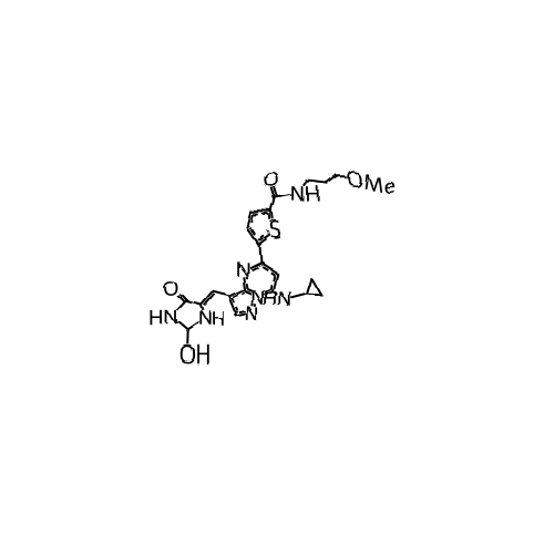 COCCCNC(=O)c1ccc(-c2cc(NC3CC3)n3ncc(/C=C4\NC(O)NC4=O)c3n2)s1